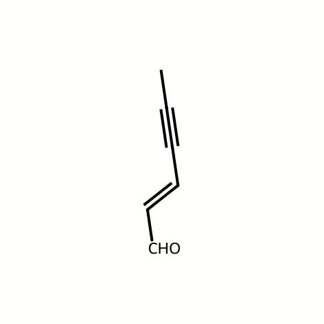 CC#CC=CC=O